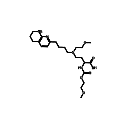 COCCOC(=O)NC(CCN(CCCCc1ccc2c(n1)NCCC2)CCOC)C(=O)O